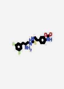 N[C@H](CNc1ncc(-c2ccc3[nH]c(=O)oc3c2)s1)Cc1cc(F)cc(F)c1